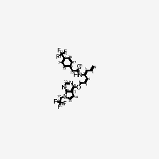 C=C/C=C(\C=C/COc1ncnc2c1ccn2CC(F)(F)F)NC(=O)Cc1ccc(C(F)(F)F)cc1